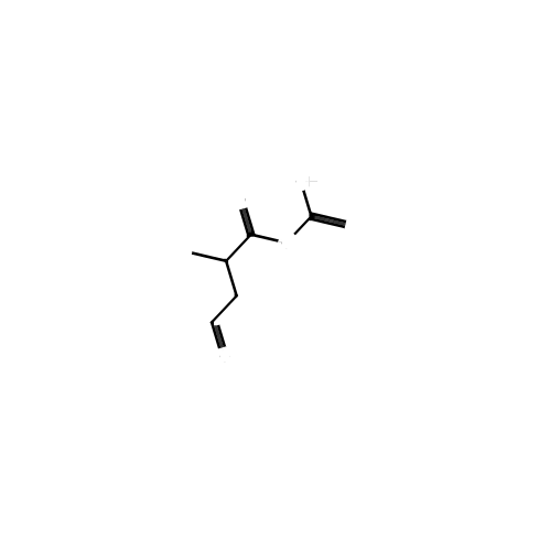 C=C(O)OC(=O)C(C)CC=O